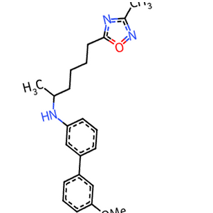 COc1cccc(-c2cccc(NC(C)CCCCc3nc(C)no3)c2)c1